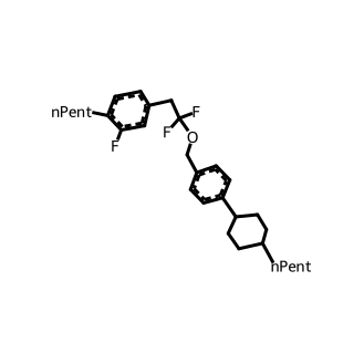 CCCCCc1ccc(CC(F)(F)OCc2ccc(C3CCC(CCCCC)CC3)cc2)cc1F